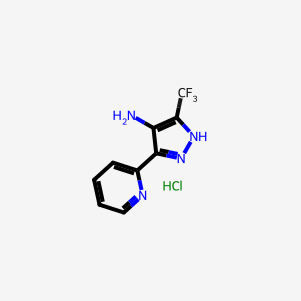 Cl.Nc1c(-c2ccccn2)n[nH]c1C(F)(F)F